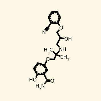 CC(C)(COc1ccc(O)c(C(N)=O)c1)NCC(O)COc1ccccc1C#N